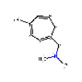 CCCC1=CC=C(CN(C)C(C)C)CC=C1